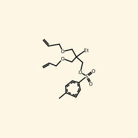 C=CCOCC(CC)(COCC=C)COS(=O)(=O)c1ccc(C)cc1